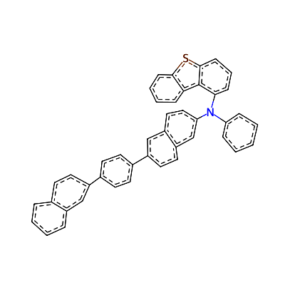 c1ccc(N(c2ccc3cc(-c4ccc(-c5ccc6ccccc6c5)cc4)ccc3c2)c2cccc3sc4ccccc4c23)cc1